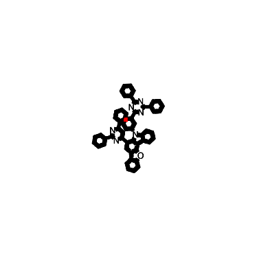 c1ccc(-c2cc(-c3cc4c5ccccc5oc4c4c5ccccc5n(-c5cccc(-c6nc(-c7ccccc7)nc(-c7ccccc7)n6)c5)c34)nc(-c3ccccc3)n2)cc1